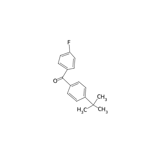 CC(C)(C)c1ccc(C(=O)c2ccc(F)cc2)cc1